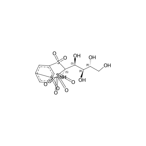 O=C1[C@@]2([C@@H](O)[C@H](O)[C@H](O)CO)NS(=O)(=O)c3cc(cc(c3)S2(=O)=O)S1(=O)=O